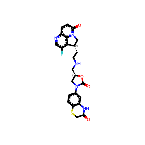 O=C1CSc2ccc(N3C[C@@H](CNCC[C@H]4Cn5c(=O)ccc6ncc(F)c4c65)OC3=O)cc2N1